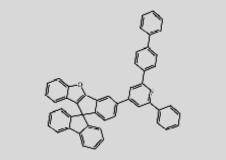 c1ccc(-c2ccc(-c3cc(-c4ccc5c(c4)-c4oc6ccccc6c4C54c5ccccc5-c5ccccc54)cc(-c4ccccc4)n3)cc2)cc1